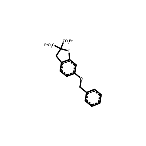 CCOC(=O)C1(C(=O)OCC)Cc2ccc(OCc3ccccc3)cc2O1